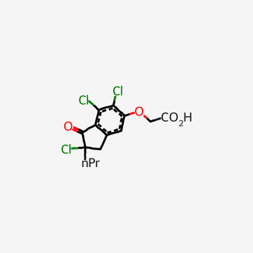 CCCC1(Cl)Cc2cc(OCC(=O)O)c(Cl)c(Cl)c2C1=O